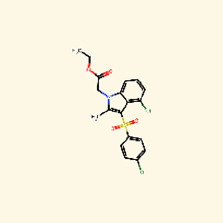 CCOC(=O)Cn1c(C)c(S(=O)(=O)c2ccc(Cl)cc2)c2c(Cl)cccc21